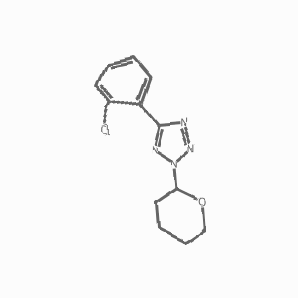 Clc1ccccc1-c1nnn(C2CCCCO2)n1